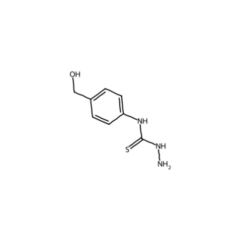 NNC(=S)Nc1ccc(CO)cc1